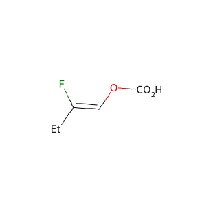 CCC(F)=COC(=O)O